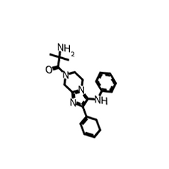 CC(C)(N)C(=O)N1CCn2c(nc(C3=CC=CCC3)c2Nc2ccccc2)C1